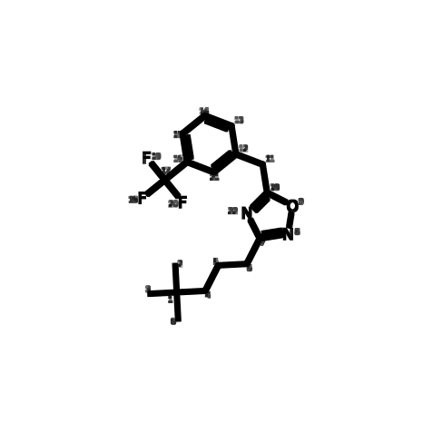 CC(C)(C)CCCc1noc(Cc2cccc(C(F)(F)F)c2)n1